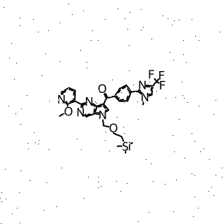 COc1ncccc1-c1ncc2c(n1)c(C(=O)c1ccc(-c3nc(C(F)(F)F)cn3C)cc1)cn2COCC[Si](C)(C)C